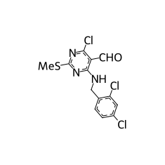 CSc1nc(Cl)c(C=O)c(NCc2ccc(Cl)cc2Cl)n1